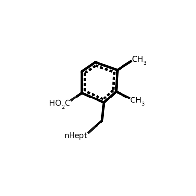 CCCCCCCCc1c(C(=O)O)ccc(C)c1C